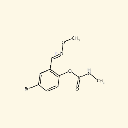 CNC(=O)Oc1ccc(Br)cc1/C=N/OC